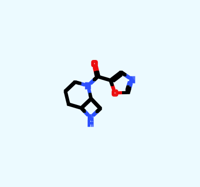 O=C(c1cnco1)N1CCCC2NCC21